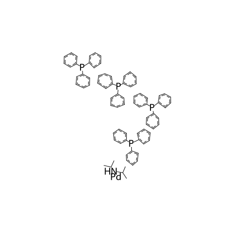 CC(C)NC(C)C.[Pd].c1ccc(P(c2ccccc2)c2ccccc2)cc1.c1ccc(P(c2ccccc2)c2ccccc2)cc1.c1ccc(P(c2ccccc2)c2ccccc2)cc1.c1ccc(P(c2ccccc2)c2ccccc2)cc1